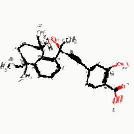 CC(O)(C#Cc1ccc(C(=O)O)c(O)c1)c1cccc2c1C(C)(C)CCC2(C)C